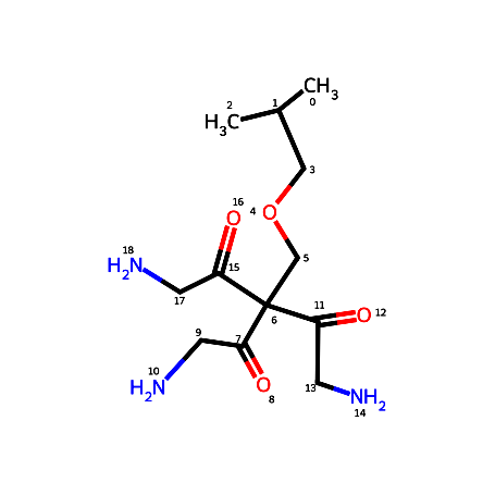 CC(C)COCC(C(=O)CN)(C(=O)CN)C(=O)CN